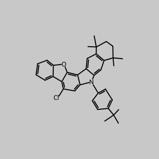 CC(C)(C)c1ccc(-n2c3cc4c(cc3c3c5oc6ccccc6c5c(Cl)cc32)C(C)(C)CCC4(C)C)cc1